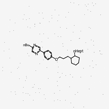 CCCCCCCC1CCCCC1CCCOc1ccc(-c2cnc(CCCC)cn2)cc1